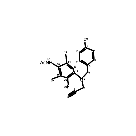 C#CCN(Cc1ccc(F)cc1)c1cc(C)c(NC(C)=O)c(C)c1F